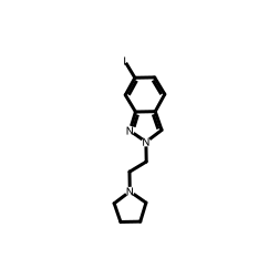 Ic1ccc2cn(CCN3CCCC3)nc2c1